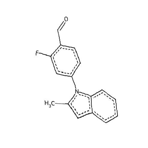 Cc1cc2ccccc2n1-c1ccc(C=O)c(F)c1